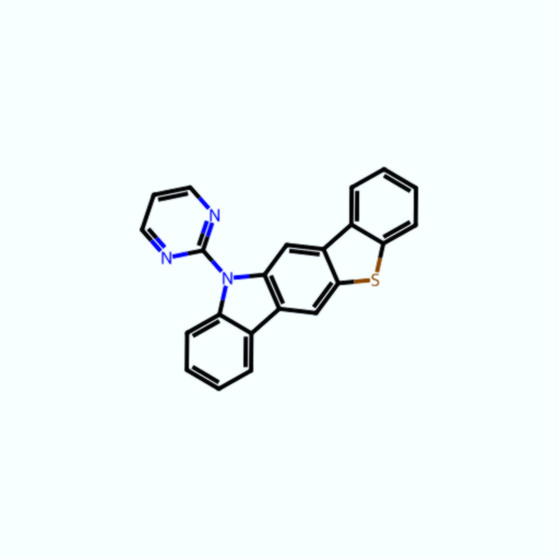 c1cnc(-n2c3ccccc3c3cc4sc5ccccc5c4cc32)nc1